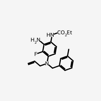 C=CCN(Cc1cccc(C)c1)c1ccc(NC(=O)OCC)c(N)c1F